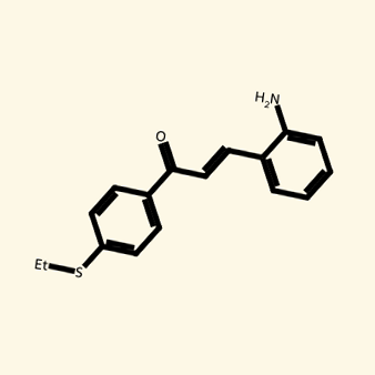 CCSc1ccc(C(=O)C=Cc2ccccc2N)cc1